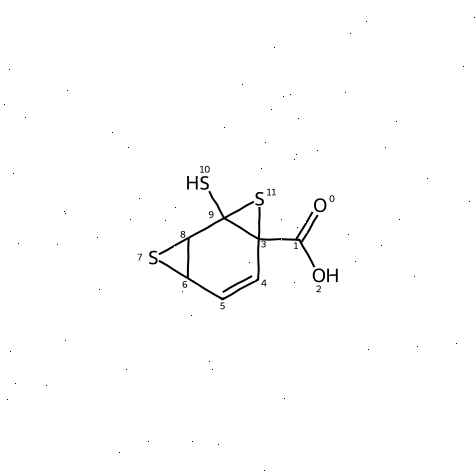 O=C(O)C12C=CC3SC3C1(S)S2